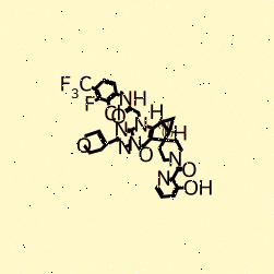 O=C(Cn1c2c(c(=O)n3nc(C4=CCOCC4)nc13)C1(CCN(C(=O)c3ncccc3O)CC1)[C@@H]1C[C@H]21)Nc1ccc(C(F)(F)F)c(F)c1Cl